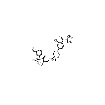 CN(C)C(=O)c1ccc(N2CCC3(CC2)C[C@@H]3CCN(C)C(=O)[C@](O)(c2cccc(OC(F)(F)F)c2)C(F)(F)F)cc1Cl